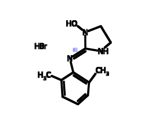 Br.Cc1cccc(C)c1/N=C1\NCCN1O